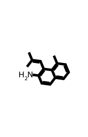 CC(C)=Cc1c(N)ccc2cccc(C)c12